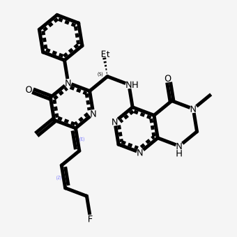 C=c1c(=O)n(-c2ccccc2)c([C@H](CC)Nc2ncnc3c2C(=O)N(C)CN3)n/c1=C/C=C\CF